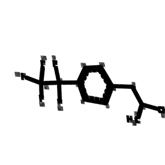 CC(C)[CH]c1ccc(C(F)(F)C(F)(F)F)cc1